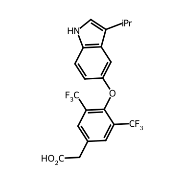 CC(C)c1c[nH]c2ccc(Oc3c(C(F)(F)F)cc(CC(=O)O)cc3C(F)(F)F)cc12